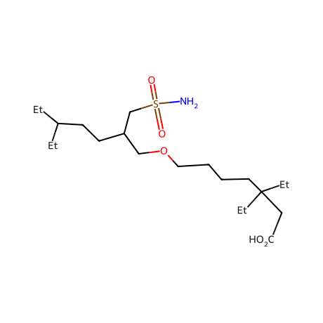 CCC(CC)CCC(COCCCCC(CC)(CC)CC(=O)O)CS(N)(=O)=O